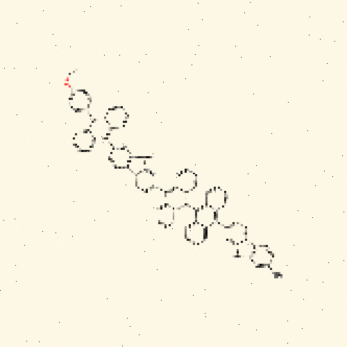 CC(C)Oc1ccc(-c2c3ccccc3c(-c3ccc4c(c3)C(C)(C)c3cc(-c5c6ccccc6c(-c6c7ccccc7c(-c7ccc8c(c7)C(C)(C)c7cc(C(C)C)ccc7-8)c7ccccc67)c6ccccc56)ccc3-4)c3ccccc23)cc1